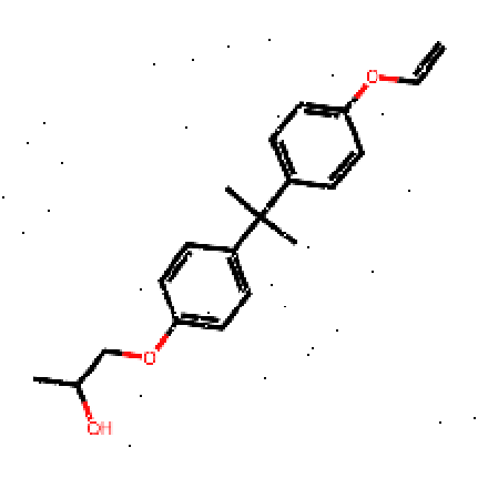 C=COc1ccc(C(C)(C)c2ccc(OCC(C)O)cc2)cc1